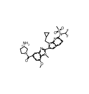 COc1cc(C(=O)N2CC[C@H](N)C2)cc2nc(-c3cc4ccc(N(C(F)F)S(C)(=O)=O)nc4n3CC3CC3)n(C)c12